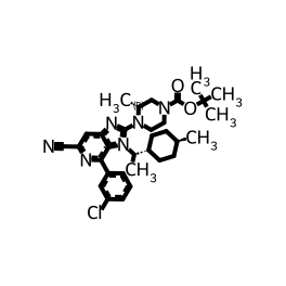 CC([C@H]1CC[C@H](C)CC1)n1c(N2CCN(C(=O)OC(C)(C)C)C[C@H]2C)nc2cc(C#N)nc(-c3cccc(Cl)c3)c21